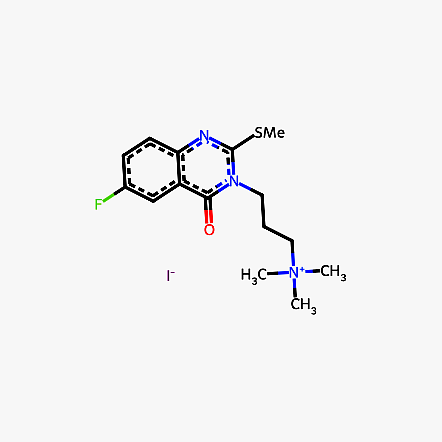 CSc1nc2ccc(F)cc2c(=O)n1CCC[N+](C)(C)C.[I-]